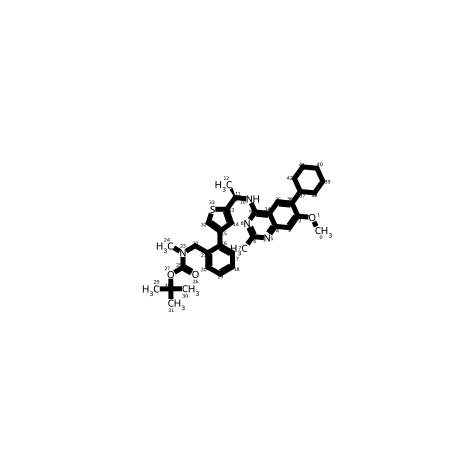 COc1cc2nc(C)nc(N[C@H](C)c3cc(-c4ccccc4CN(C)C(=O)OC(C)(C)C)cs3)c2cc1C1CCCCC1